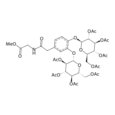 COC(=O)CNC(=O)Cc1ccc(O[C@@H]2O[C@H](COC(C)=O)[C@@H](OC(C)=O)[C@H](OC(C)=O)[C@H]2OC(C)=O)c(O[C@@H]2O[C@H](COC(C)=O)[C@@H](OC(C)=O)[C@H](OC(C)=O)[C@H]2OC(C)=O)c1